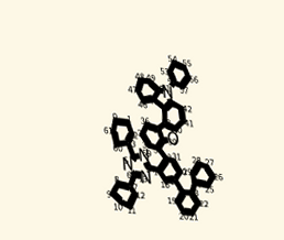 c1ccc(-c2nc(-c3ccccc3)nc(-c3cc(-c4ccccc4-c4ccccc4)ccc3-c3cccc4c3oc3ccc5c(c6ccccc6n5-c5ccccc5)c34)n2)cc1